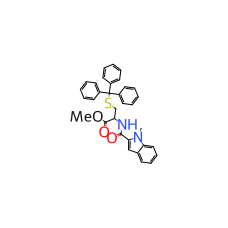 COC(=O)C(CSC(c1ccccc1)(c1ccccc1)c1ccccc1)NC(=O)c1cc2ccccc2n1C